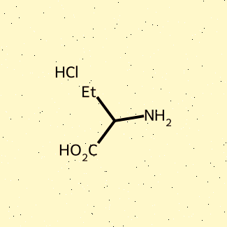 CCC(N)C(=O)O.Cl